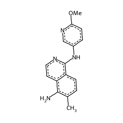 COc1ccc(Nc2nccc3c(N)c(C)ccc23)cn1